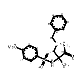 COc1ccc(S(=O)(=O)NC(C)(COCc2ccccc2)C(N)=O)cc1